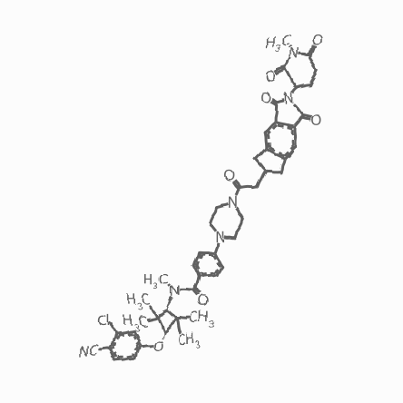 CN1C(=O)CCC(N2C(=O)c3cc4c(cc3C2=O)CC(CC(=O)N2CCN(c3ccc(C(=O)N(C)[C@H]5C(C)(C)[C@H](Oc6ccc(C#N)c(Cl)c6)C5(C)C)cc3)CC2)C4)C1=O